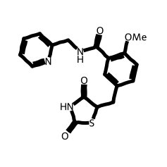 COc1ccc(CC2SC(=O)NC2=O)cc1C(=O)NCc1ccccn1